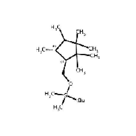 CC1[C@@H](C)[C@H](CO[Si](C)(C)C(C)(C)C)C(C)(C)C1(C)C